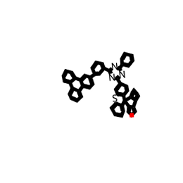 c1ccc(-c2nc(-c3cccc(-c4ccc5c6ccccc6c6ccccc6c5c4)c3)nc(-c3ccc4c(c3)Sc3ccccc3C43c4ccccc4-c4ccccc43)n2)cc1